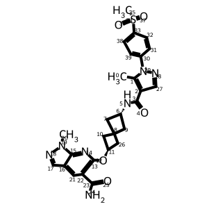 Cc1c(C(=O)N[C@H]2CC3(C2)C[C@H](Oc2nc4c(cnn4C)cc2C(N)=O)C3)cnn1-c1ccc(S(C)(=O)=O)cc1